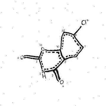 O=c1[nH]c(=O)c2ccc(Cl)cc2o1